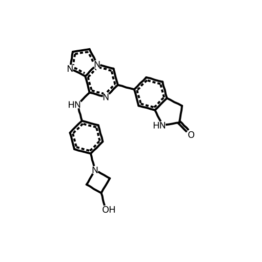 O=C1Cc2ccc(-c3cn4ccnc4c(Nc4ccc(N5CC(O)C5)cc4)n3)cc2N1